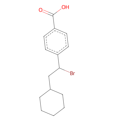 O=C(O)c1ccc(C(Br)CC2CCCCC2)cc1